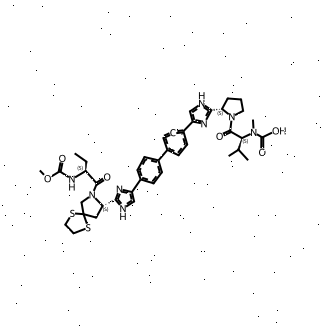 CC[C@H](NC(=O)OC)C(=O)N1CC2(C[C@H]1c1nc(-c3ccc(-c4ccc(-c5c[nH]c([C@@H]6CCCN6C(=O)[C@H](C(C)C)N(C)C(=O)O)n5)cc4)cc3)c[nH]1)SCCS2